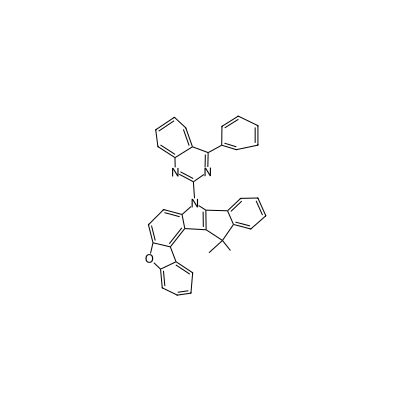 CC1(C)c2ccccc2-c2c1c1c3c(ccc1n2-c1nc(-c2ccccc2)c2ccccc2n1)oc1ccccc13